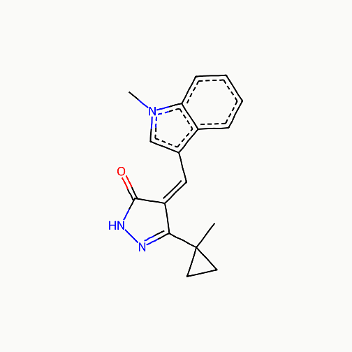 Cn1cc(C=C2C(=O)NN=C2C2(C)CC2)c2ccccc21